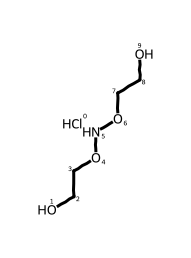 Cl.OCCONOCCO